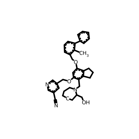 Cc1c(COc2cc(OCc3cncc(C#N)c3)c(CN3CCCCCC3CO)c3c2CCC3)cccc1-c1ccccc1